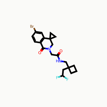 O=C(CN1CC2(CC2)c2cc(Br)ccc2C1=O)NCC1(CC(F)F)CCC1